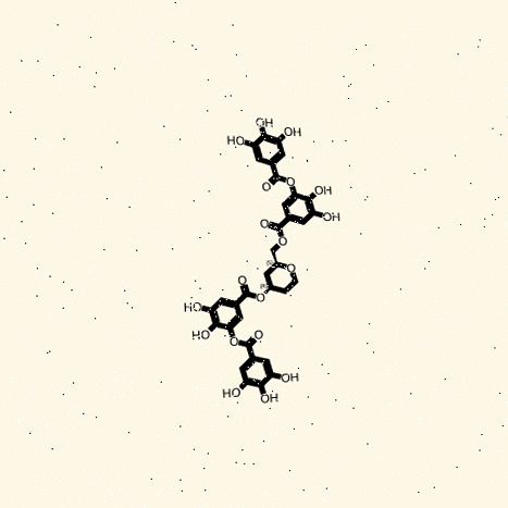 O=C(OC[C@@H]1C[C@H](OC(=O)c2cc(O)c(O)c(OC(=O)c3cc(O)c(O)c(O)c3)c2)CCO1)c1cc(O)c(O)c(OC(=O)c2cc(O)c(O)c(O)c2)c1